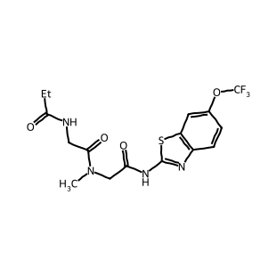 CCC(=O)NCC(=O)N(C)CC(=O)Nc1nc2ccc(OC(F)(F)F)cc2s1